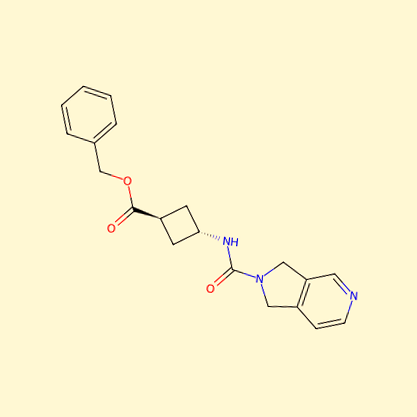 O=C(N[C@H]1C[C@H](C(=O)OCc2ccccc2)C1)N1Cc2ccncc2C1